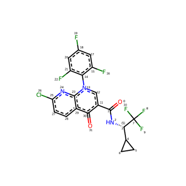 O=C(N[C@@H](C1CC1)C(F)(F)F)c1cn(-c2c(F)cc(F)cc2F)c2nc(Cl)ccc2c1=O